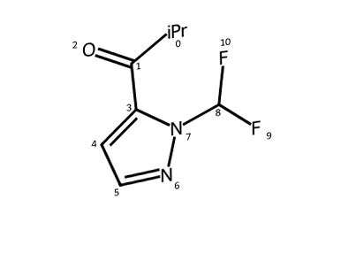 CC(C)C(=O)c1ccnn1C(F)F